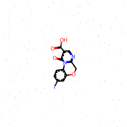 O=C(O)c1cnc2n(c1=O)-c1ccc(I)cc1OC2